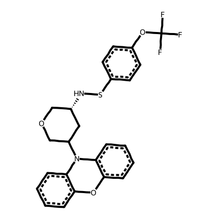 FC(F)(F)Oc1ccc(SN[C@H]2COCC(N3c4ccccc4Oc4ccccc43)C2)cc1